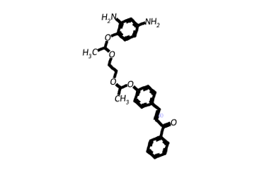 CC(OCCOC(C)Oc1ccc(N)cc1N)Oc1ccc(/C=C/C(=O)c2ccccc2)cc1